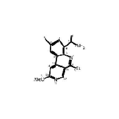 CCc1nc2c(C(C)N)cc(C)cc2c2cc(OC)ncc12